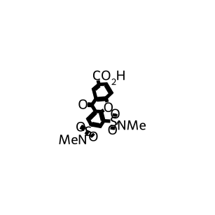 CNS(=O)(=O)c1cc(S(=O)(=O)NC)c2oc3ccc(C(=O)O)cc3c(=O)c2c1